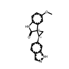 COc1ccc2c(c1)[C@@]1(C[C@H]1c1ccc3cn[nH]c3c1)C(=O)N2